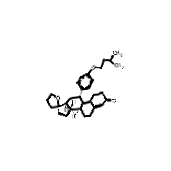 CC(C)CCSc1ccc([C@H]2C[C@@]3(C)[C@@H](CC[C@@]34CCCO4)[C@@H]3CCC4=CC(=O)CCC4=C32)cc1